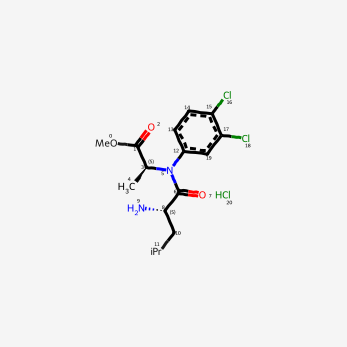 COC(=O)[C@H](C)N(C(=O)[C@@H](N)CC(C)C)c1ccc(Cl)c(Cl)c1.Cl